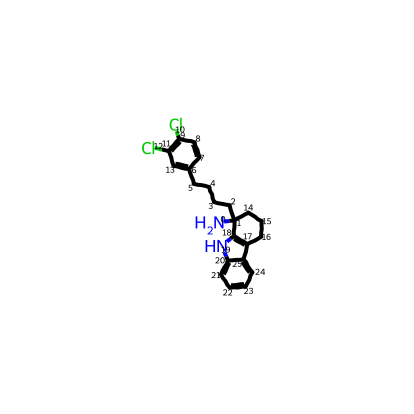 NC1(CCCCc2ccc(Cl)c(Cl)c2)CCCc2c1[nH]c1ccccc21